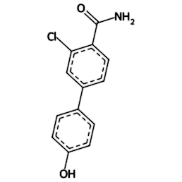 NC(=O)c1ccc(-c2ccc(O)cc2)cc1Cl